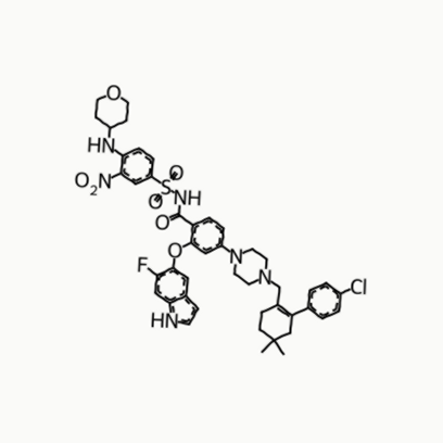 CC1(C)CCC(CN2CCN(c3ccc(C(=O)NS(=O)(=O)c4ccc(NC5CCOCC5)c([N+](=O)[O-])c4)c(Oc4cc5cc[nH]c5cc4F)c3)CC2)=C(c2ccc(Cl)cc2)C1